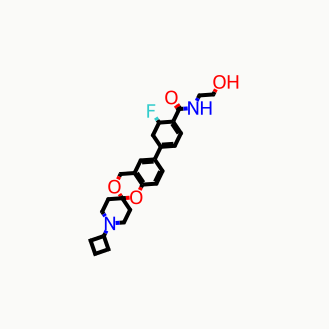 O=C(NCCO)C1=CC=C(c2ccc3c(c2)COC2(CCN(C4CCC4)CC2)O3)CC1F